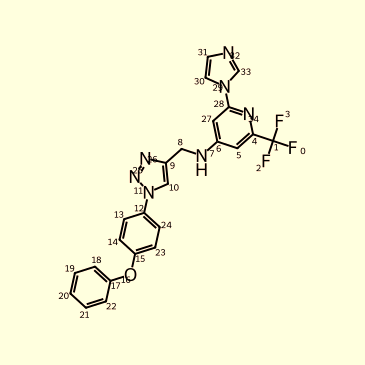 FC(F)(F)c1cc(NCc2cn(-c3ccc(Oc4ccccc4)cc3)nn2)cc(-n2ccnc2)n1